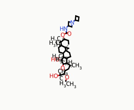 CCO[C@@H](C1C[C@@H](C)[C@H]2C(O1)[C@H](O)[C@@]1(C)C3CC[C@H]4C(C)(C)[C@@H](OC(=O)NC5CN(C6CCC6)C5)CC[C@@]45C[C@@]35CC[C@]21C)C(C)(C)O